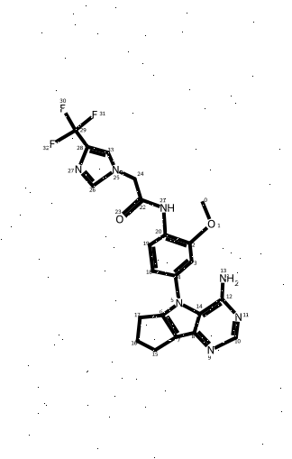 COc1cc(-n2c3c(c4ncnc(N)c42)CCC3)ccc1NC(=O)Cn1cnc(C(F)(F)F)c1